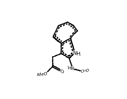 COC(=O)Cc1c(NC=O)[nH]c2ccccc12